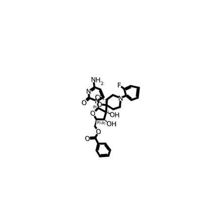 COC1([C@@]2(O)[C@H](O)[C@@H](COC(=O)c3ccccc3)O[C@H]2n2ccc(N)nc2=O)CCN(c2ccccc2F)CC1